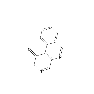 O=C1CN=Cc2ncc3ccccc3c21